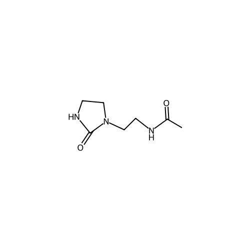 CC(=O)NCCN1CCNC1=O